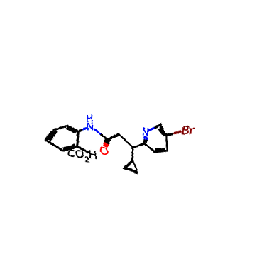 O=C(CC(c1ccc(Br)cn1)C1CC1)Nc1ccccc1C(=O)O